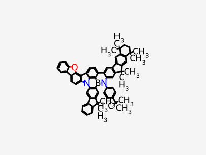 CC(C)(C)c1ccc(N2B3c4cc5c(cc4-n4c6ccc7c8ccccc8oc7c6c6ccc(c3c64)-c3cc4c(cc32)C(C)(C)c2cc3c(cc2-4)C(C)(C)CCC3(C)C)-c2ccccc2C5(C)C)cc1